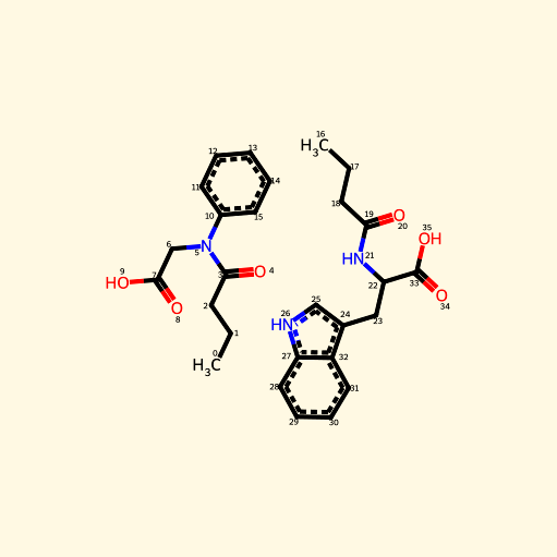 CCCC(=O)N(CC(=O)O)c1ccccc1.CCCC(=O)NC(Cc1c[nH]c2ccccc12)C(=O)O